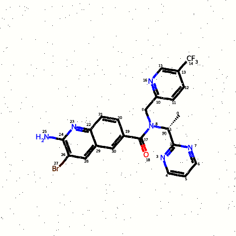 C[C@H](c1ncccn1)N(Cc1ccc(C(F)(F)F)cn1)C(=O)c1ccc2nc(N)c(Br)cc2c1